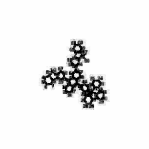 CC1(C)c2ccccc2-c2cc(-c3c4ccccc4c(-c4ccc([Si](c5ccccc5)(c5ccccc5)c5ccccc5)cc4)c4ccc(-c5ccc6c(c5)C(C)(C)c5ccccc5-6)cc34)ccc21